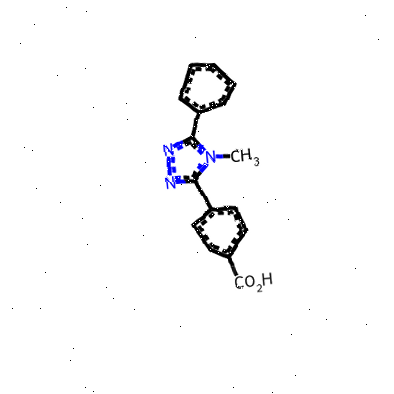 Cn1c(-c2ccccc2)nnc1-c1ccc(C(=O)O)cc1